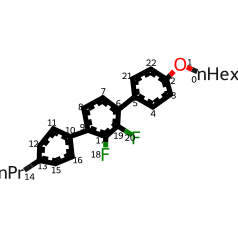 CCCCCCOc1ccc(-c2ccc(-c3ccc(CCC)cc3)c(F)c2F)cc1